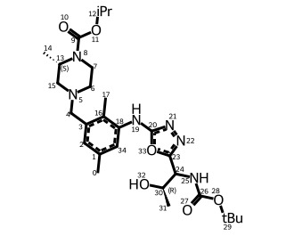 Cc1cc(CN2CCN(C(=O)OC(C)C)[C@@H](C)C2)c(C)c(Nc2nnc(C(NC(=O)OC(C)(C)C)[C@@H](C)O)o2)c1